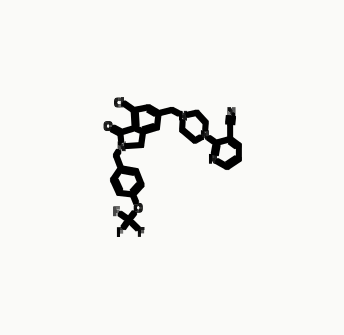 N#Cc1cccnc1N1CCN(Cc2cc(Cl)c3c(c2)CN(Cc2ccc(OC(F)(F)F)cc2)C3=O)CC1